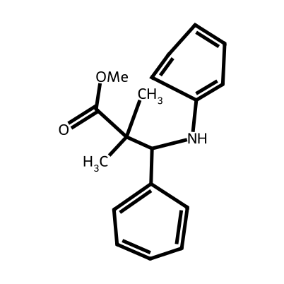 COC(=O)C(C)(C)C(Nc1ccccc1)c1ccccc1